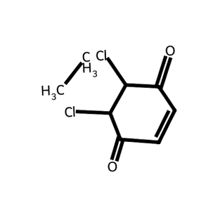 CC.O=C1C=CC(=O)C(Cl)C1Cl